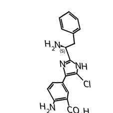 Nc1ccc(-c2nc([C@@H](N)Cc3ccccc3)[nH]c2Cl)cc1C(=O)O